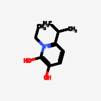 CC[n+]1c(C(C)C)ccc(O)c1O